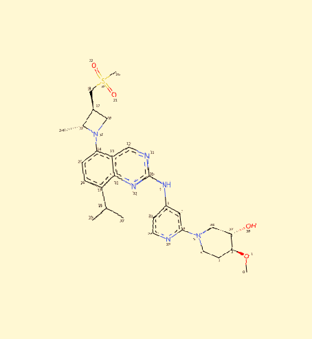 CO[C@H]1CCN(c2cc(Nc3ncc4c(N5C[C@H](CS(C)(=O)=O)[C@H]5C)ccc(C(C)C)c4n3)ccn2)C[C@@H]1O